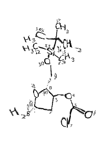 B[C@H]1CC(OC(=O)Cl)[C@@H](CO[Si](C)(C)C(C)(C)C)O1